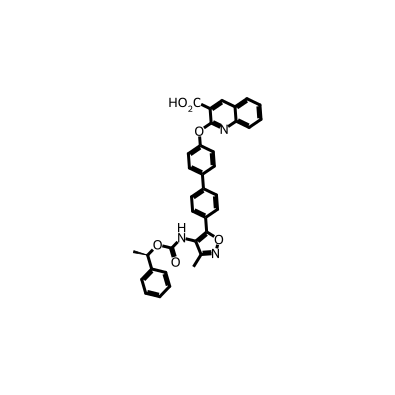 Cc1noc(-c2ccc(-c3ccc(Oc4nc5ccccc5cc4C(=O)O)cc3)cc2)c1NC(=O)O[C@H](C)c1ccccc1